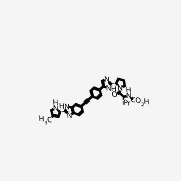 CC1=C[C@@H](c2nc3ccc(C#Cc4ccc(-c5cnc([C@@H]6CCCN6C(=O)[C@@H](NC(=O)O)C(C)C)[nH]5)cc4)cc3[nH]2)NC1